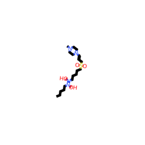 CCCCCN(O)N(O)CCCCCS(=O)(=O)CC=CN1CCN(C)CC1